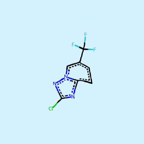 FC(F)(F)c1ccc2nc(Cl)nn2c1